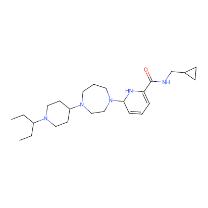 CCC(CC)N1CCC(N2CCCN(C3C=CC=C(C(=O)NCC4CC4)N3)CC2)CC1